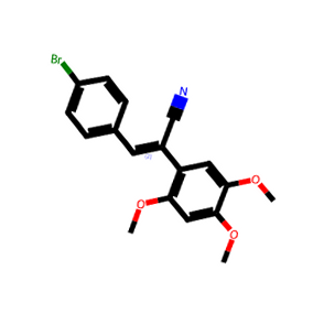 COc1cc(OC)c(/C(C#N)=C/c2ccc(Br)cc2)cc1OC